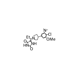 CCC([C@H]1NC(=O)NC1=O)N1CCC(c2cc(OC)c(Cl)c(N(C)C)c2)CC1